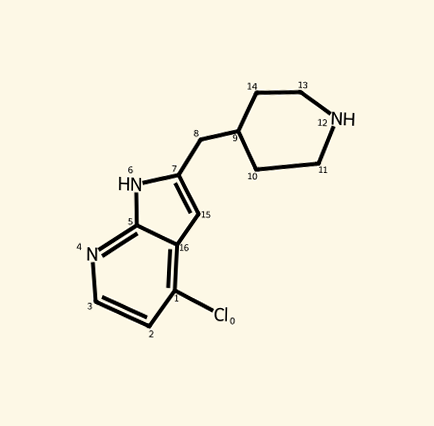 Clc1ccnc2[nH]c(CC3CCNCC3)cc12